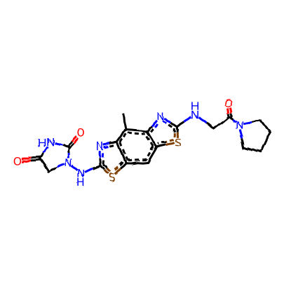 Cc1c2nc(NCC(=O)N3CCCC3)sc2cc2sc(NN3CC(=O)NC3=O)nc12